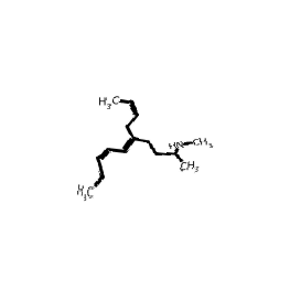 C/C=C\C/C(=C\C=C/CC)CCC(C)NC